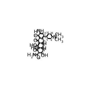 CN(C)c1ccc(-c2cc(N)c(O)c3c2C[C@H]2C[C@H]4CC(O)C(C(N)=O)C(=O)[C@@]4(O)C(O)=C2C3=O)cc1